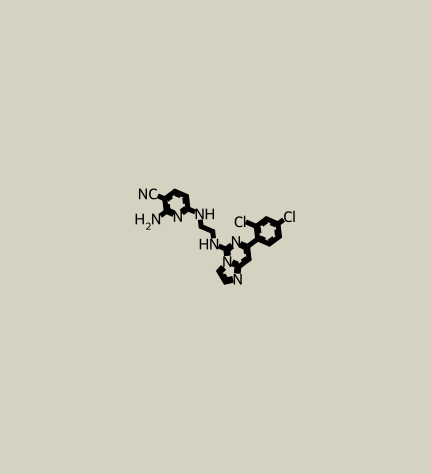 N#Cc1ccc(NCCNc2nc(-c3ccc(Cl)cc3Cl)cc3nccn23)nc1N